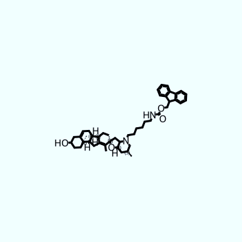 CC1=C2C[C@H]3[C@@H](CC=C4CC(O)CC[C@@]43C)[C@@H]2CC[C@@]12CC1[C@@H](C[C@H](C)CN1CCCCCCNC(=O)OCC1c3ccccc3-c3ccccc31)O2